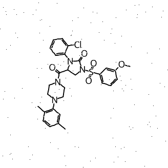 COc1cccc(S(=O)(=O)N2CC(C(=O)N3CCN(c4cc(C)ccc4C)CC3)N(c3ccccc3Cl)C2=O)c1